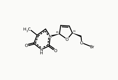 Cc1cn([C@H]2C=C[C@@H](COBr)O2)c(=O)[nH]c1=O